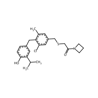 Cc1cc(CSCC(=O)N2CCC2)cc(Cl)c1Cc1ccc(O)c(C(C)C)c1